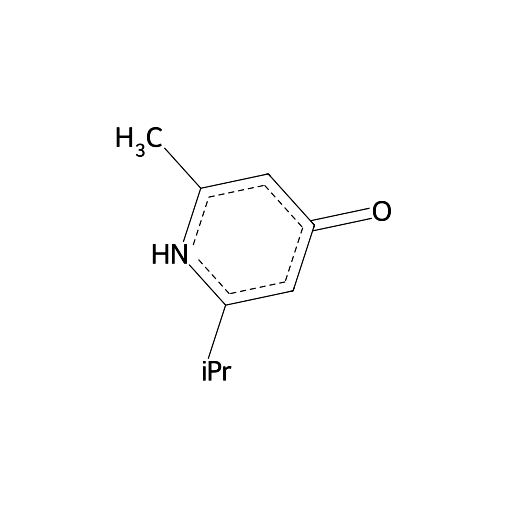 Cc1cc(=O)cc(C(C)C)[nH]1